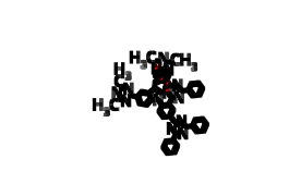 Cc1nc(C)nc(-c2ccc3c(c2)c2cc(-c4nc(C)nc(C)n4)ccc2n3-c2ccc(-c3nc(-c4ccccc4)nc(-c4ccccc4)n3)cc2-c2nc(-c3ccccc3)nc(-c3ccccc3)n2)n1